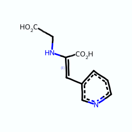 O=C(O)CN/C(=C/c1cccnc1)C(=O)O